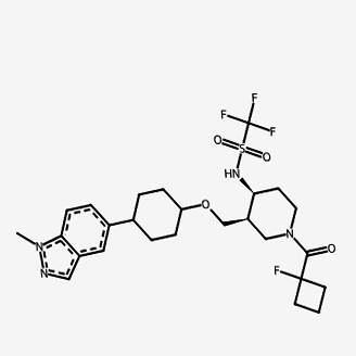 Cn1ncc2cc(C3CCC(OC[C@@H]4CN(C(=O)C5(F)CCC5)CC[C@@H]4NS(=O)(=O)C(F)(F)F)CC3)ccc21